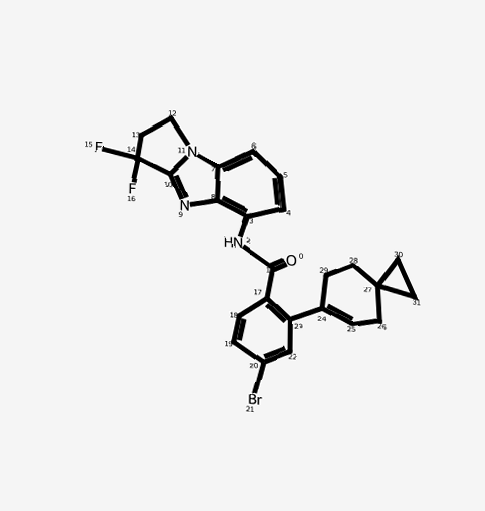 O=C(Nc1cccc2c1nc1n2CCC1(F)F)c1ccc(Br)cc1C1=CCC2(CC1)CC2